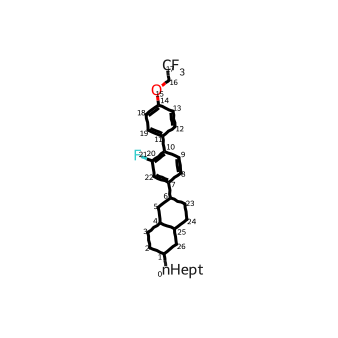 CCCCCCCC1CCC2CC(c3ccc(-c4ccc(OCC(F)(F)F)cc4)c(F)c3)CCC2C1